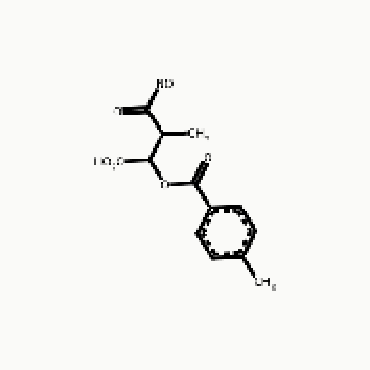 Cc1ccc(C(=O)OC(C(=O)O)C(C)C(=O)N=O)cc1